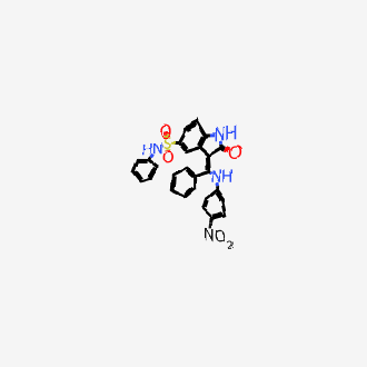 O=C1Nc2ccc(S(=O)(=O)Nc3ccccc3)cc2C1=C(Nc1ccc([N+](=O)[O-])cc1)c1ccccc1